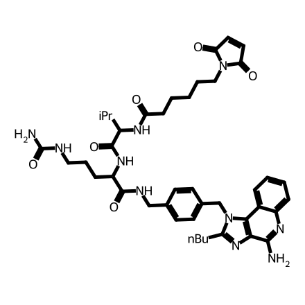 CCCCc1nc2c(N)nc3ccccc3c2n1Cc1ccc(CNC(=O)C(CCCNC(N)=O)NC(=O)C(NC(=O)CCCCCN2C(=O)C=CC2=O)C(C)C)cc1